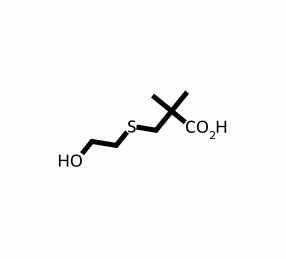 CC(C)(CSCCO)C(=O)O